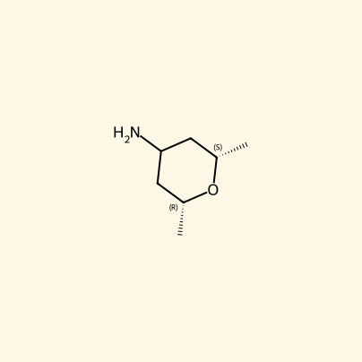 C[C@@H]1CC(N)C[C@H](C)O1